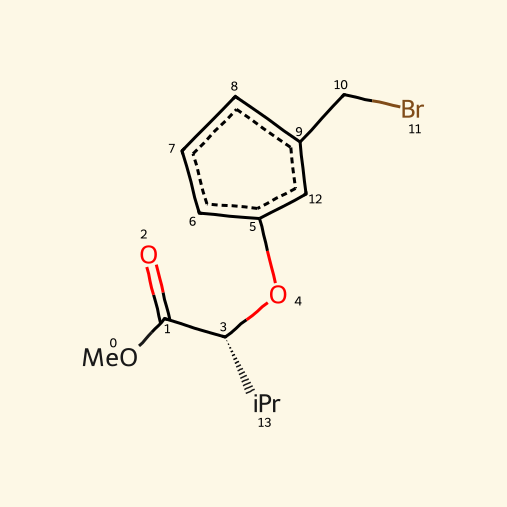 COC(=O)[C@H](Oc1cccc(CBr)c1)C(C)C